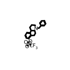 O=S(=O)(Oc1cccc2c1CCC1C2CCCN1Cc1ccccc1)C(F)(F)F